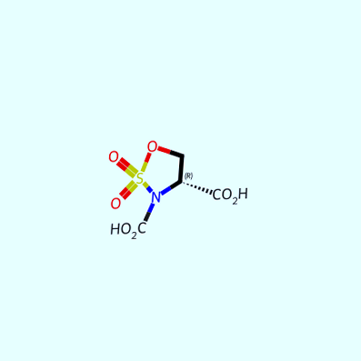 O=C(O)[C@H]1COS(=O)(=O)N1C(=O)O